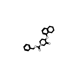 O=C1CN(C(=O)OCc2ccccc2)CCC1Oc1cccc2c1CCCC2